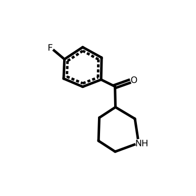 O=C(c1ccc(F)cc1)C1CCCNC1